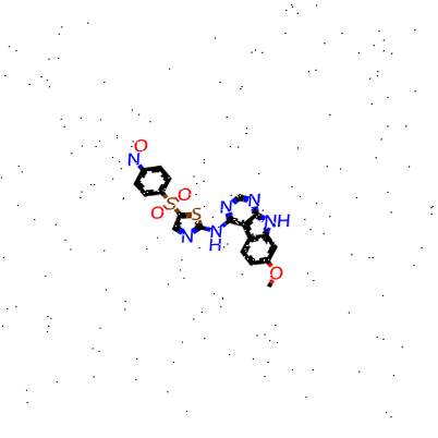 COc1ccc2c(c1)[nH]c1ncnc(Nc3ncc(S(=O)(=O)c4ccc(N=O)cc4)s3)c12